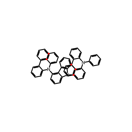 c1ccc(-c2ccccc2N(c2ccccc2)c2cccc3c2c2cccc4c5c(N(c6ccccc6)c6ccccc6-c6ccccc6)cccc5n3c24)cc1